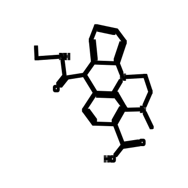 CCNC(=O)C(c1ccc(C(=O)O)cc1)c1ccccc1N1CCN(C)CC1